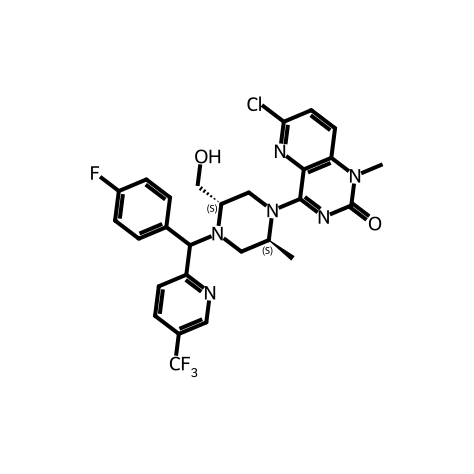 C[C@H]1CN(C(c2ccc(F)cc2)c2ccc(C(F)(F)F)cn2)[C@H](CO)CN1c1nc(=O)n(C)c2ccc(Cl)nc12